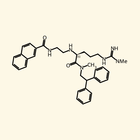 CNC(=N)NCCC[C@H](NCCNC(=O)c1ccc2ccccc2c1)C(=O)N(C)CC(c1ccccc1)c1ccccc1